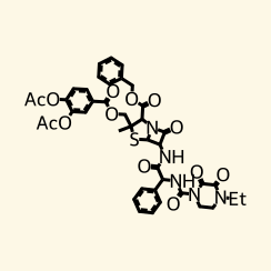 CCN1CCN(C(=O)NC(C(=O)NC2C(=O)N3C2SC(C)(COC(=O)c2ccc(OC(C)=O)c(OC(C)=O)c2)C3C(=O)OCc2ccccc2)c2ccccc2)C(=O)C1=O